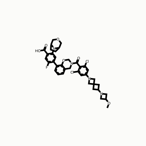 COC1CN(C2CC3(C2)CN(c2cc(Cl)c(C(=O)N4COc5c(cccc5-c5cc(N6C7CCC6COC7)c(C(=O)O)cc5F)C4)c(Cl)c2)C3)C1